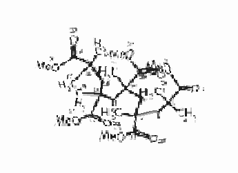 COC(=O)C(C)(C)CC(C)(CC(C)(CC(C)(CC(C)(C)C(=O)OC)C(=O)OC)C(=O)OC)C(=O)OC